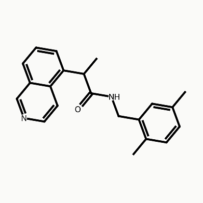 Cc1ccc(C)c(CNC(=O)C(C)c2cccc3cnccc23)c1